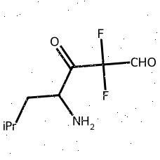 CC(C)CC(N)C(=O)C(F)(F)C=O